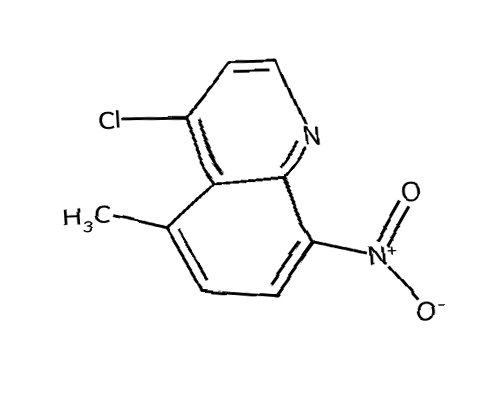 Cc1ccc([N+](=O)[O-])c2nccc(Cl)c12